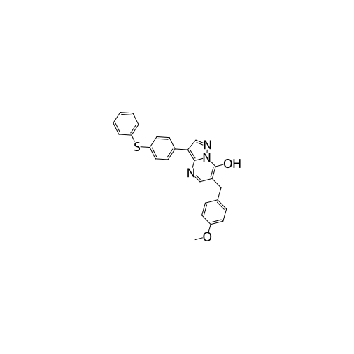 COc1ccc(Cc2cnc3c(-c4ccc(Sc5ccccc5)cc4)cnn3c2O)cc1